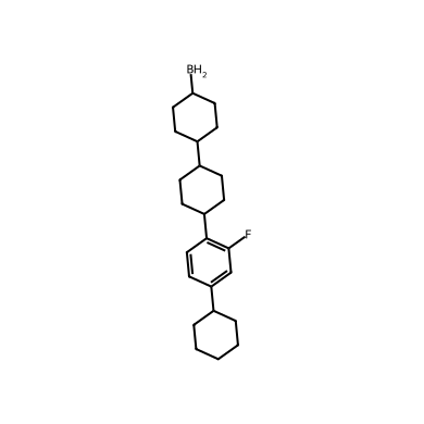 BC1CCC(C2CCC(c3ccc(C4CCCCC4)cc3F)CC2)CC1